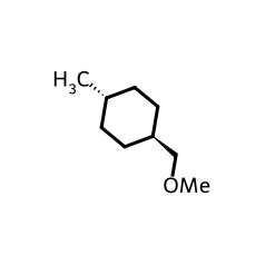 COC[C@H]1CC[C@H](C)CC1